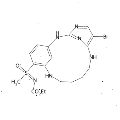 CCOC(=O)N=S(C)(=O)c1ccc2cc1NCCCCNc1nc(ncc1Br)N2